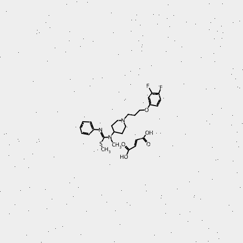 CSC(=Nc1ccccc1)N(C)C1CCN(CCCOc2ccc(F)c(F)c2)CC1.O=C(O)C=CC(=O)O